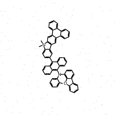 Cc1ccccc1N(c1c2ccccc2c(-c2ccc3c(c2)-c2cc4c5ccccc5c5ccccc5c4cc2[Si]3(C)C)c2ccccc12)c1cccc2c1oc1ccccc12